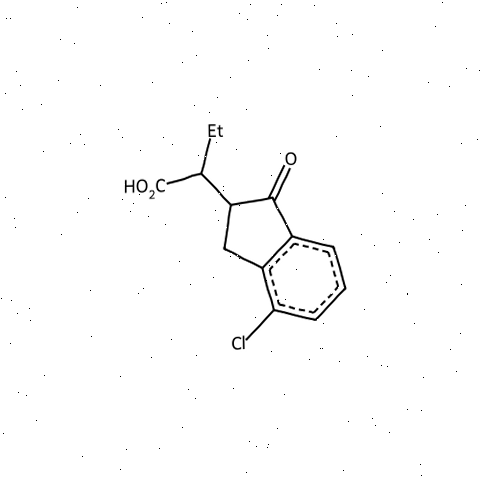 CCC(C(=O)O)C1Cc2c(Cl)cccc2C1=O